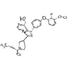 CC#CC(=O)N1CCC(c2nc(-c3ccc(Oc4cccc(OC)c4F)cc3)c3c(CO)nccn23)C1